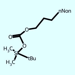 CCCCCCCCCCCCOC(=O)O[Si](C)(C)C(C)(C)C